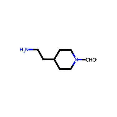 NCCC1CCN([C]=O)CC1